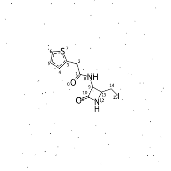 O=C(Cc1cccs1)NC1C(=O)NC1CI